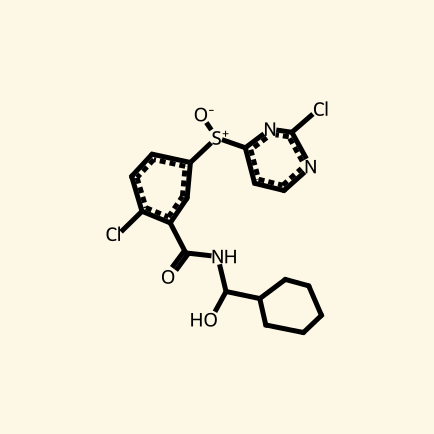 O=C(NC(O)C1CCCCC1)c1cc([S+]([O-])c2ccnc(Cl)n2)ccc1Cl